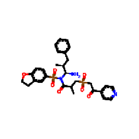 CC(CS(=O)(=O)CC(=O)c1ccncc1)C(=O)N([C@H](N)[C@@H](C)Cc1ccccc1)S(=O)(=O)c1ccc2c(c1)CCO2